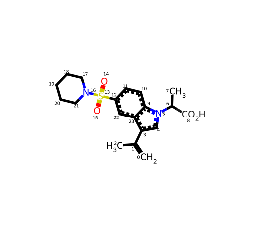 C=C(C)c1cn(C(C)C(=O)O)c2ccc(S(=O)(=O)N3CCCCC3)cc12